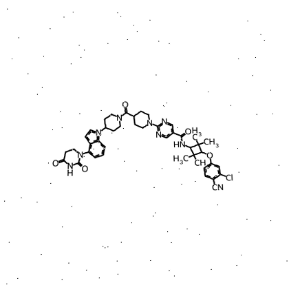 CC1(C)C(NC(=O)c2cnc(N3CCC(C(=O)N4CCC(n5ccc6c(N7CCC(=O)NC7=O)cccc65)CC4)CC3)nc2)C(C)(C)C1Oc1ccc(C#N)c(Cl)c1